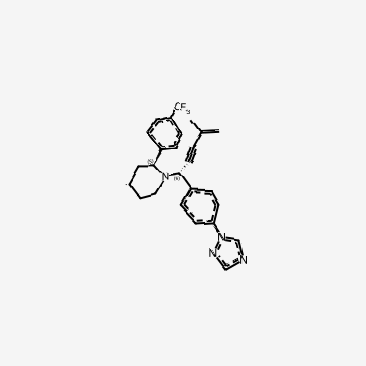 C=C(C)C#C[C@H](c1ccc(-n2cncn2)cc1)N1CC[CH]C[C@H]1c1ccc(C(F)(F)F)cc1